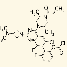 C=CC(=O)N1C[C@H](C)N(c2nc(N3CC(N(C)C)C3)nc3c(F)c(-c4c(F)cccc4OC(C)=O)c(Cl)cc23)C[C@H]1C